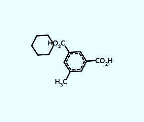 C1CCCCC1.Cc1cc(C(=O)O)cc(C(=O)O)c1